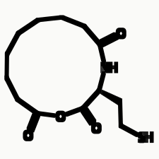 O=C1CCCCCCCC(=O)OC(=O)[C@H](CCS)N1